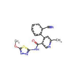 COc1nnc(NC(=O)c2cnc(C)cc2-c2ccccc2C#N)s1